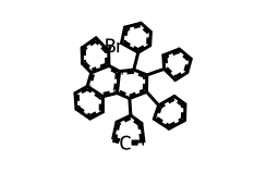 Brc1cccc2c3ccccc3c3c(-c4ccccc4)c(-c4ccccc4)c(-c4ccccc4)c(-c4ccccc4)c3c12